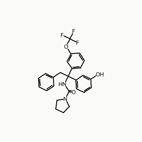 O=C(NC(Cc1ccccc1)(c1cccc(O)c1)c1cccc(OC(F)(F)F)c1)N1CCCC1